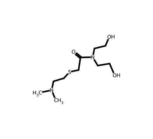 CN(C)CCSCC(=O)N(CCO)CCO